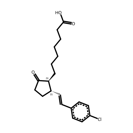 O=C(O)CCCCCC[C@@H]1C(=O)CC[C@H]1C=Cc1ccc(Cl)cc1